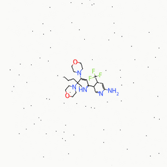 CCCC(C)(/C(=C\C(=N)C1C=NC(N)=CC1C(F)(F)F)N1CCOCC1)N1CCOCC1